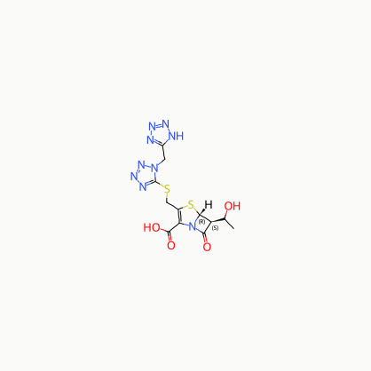 CC(O)[C@H]1C(=O)N2C(C(=O)O)=C(CSc3nnnn3Cc3nnn[nH]3)S[C@H]12